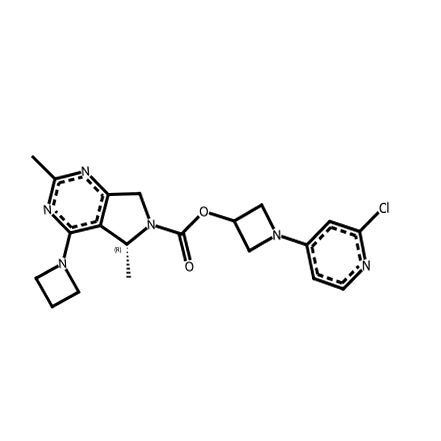 Cc1nc2c(c(N3CCC3)n1)[C@@H](C)N(C(=O)OC1CN(c3ccnc(Cl)c3)C1)C2